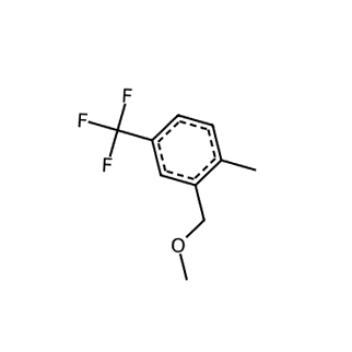 COCc1cc(C(F)(F)F)ccc1C